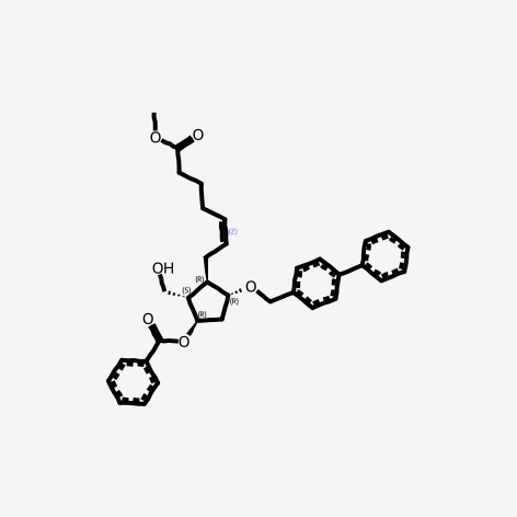 COC(=O)CCC/C=C\C[C@@H]1[C@@H](CO)[C@H](OC(=O)c2ccccc2)C[C@H]1OCc1ccc(-c2ccccc2)cc1